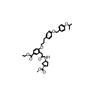 CCOC(=O)c1ccc(OCCCc2ccc(OCc3ccc(OC(C)C)cc3)cc2)c(CC(=O)N[C@H]2CC[C@@H](C(=O)OC)C2)c1